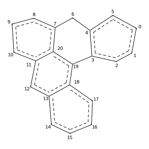 c1ccc2c(c1)Cc1cccc3cc4ccccc4c-2c13